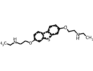 CCNCCOc1ccc2c(c1)sc1cc(OCCNCC)ccc12